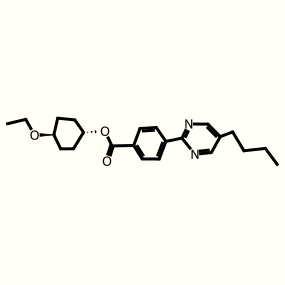 CCCCc1cnc(-c2ccc(C(=O)O[C@H]3CC[C@H](OCC)CC3)cc2)nc1